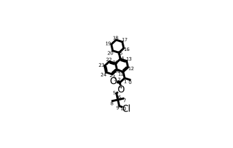 CC(C(=O)OCC(C)(C)CCl)c1ccc(C2CCCCC2)c2ccccc12